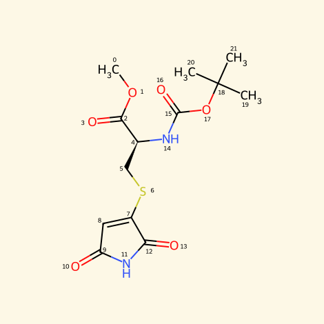 COC(=O)[C@H](CSC1=CC(=O)NC1=O)NC(=O)OC(C)(C)C